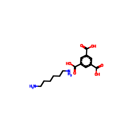 NCCCCCCN.O=C(O)c1cc(C(=O)O)cc(C(=O)O)c1